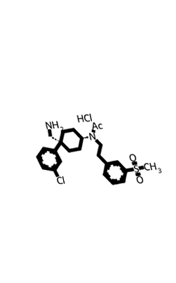 CC(=O)N(CCc1cccc(S(C)(=O)=O)c1)[C@H]1CC[C@](CN)(c2cccc(Cl)c2)CC1.Cl